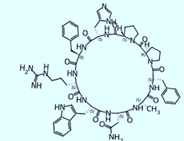 C[C@@H]1NC(=O)[C@H](CC(N)=O)NC(=O)[C@H](Cc2c[nH]c3ccccc23)NC(=O)[C@H](CCCNC(=N)N)NC(=O)[C@@H](Cc2ccccc2)NC(=O)[C@H](Cc2cnc[nH]2)NC(=O)[C@@H]2CCCN2C(=O)[C@H]2CCCN2C(=O)[C@H](Cc2ccccc2)NC1=O